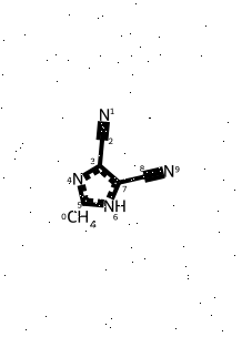 C.N#Cc1nc[nH]c1C#N